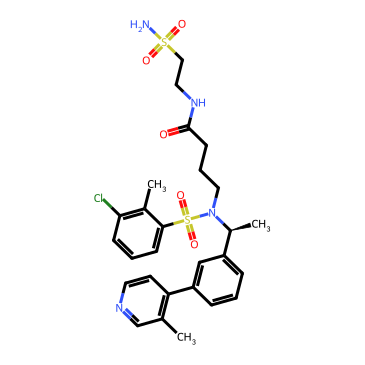 Cc1cnccc1-c1cccc([C@H](C)N(CCCC(=O)NCCS(N)(=O)=O)S(=O)(=O)c2cccc(Cl)c2C)c1